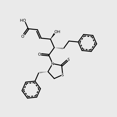 O=C(O)/C=C/[C@@H](O)[C@H](CCc1ccccc1)C(=O)N1C(=S)SC[C@@H]1Cc1ccccc1